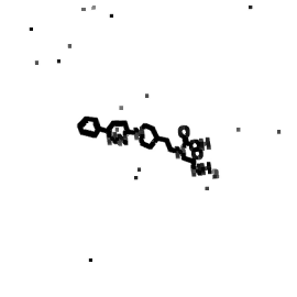 NC(=O)CN(CCC1CCN(c2ccc(-c3ccccc3)nn2)CC1)C(=O)O